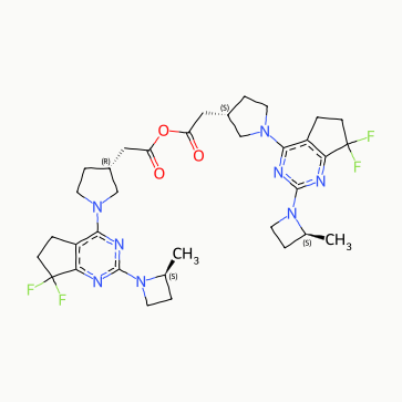 C[C@H]1CCN1c1nc(N2CC[C@H](CC(=O)OC(=O)C[C@@H]3CCN(c4nc(N5CC[C@@H]5C)nc5c4CCC5(F)F)C3)C2)c2c(n1)C(F)(F)CC2